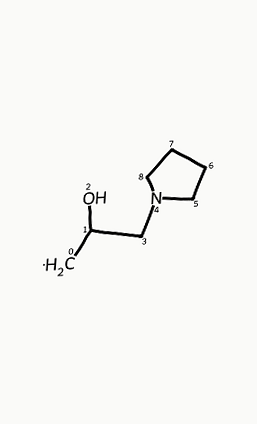 [CH2]C(O)CN1CCCC1